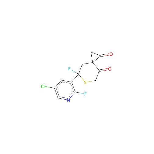 O=C1CSC(F)(c2cc(Cl)cnc2F)CC12CC2=O